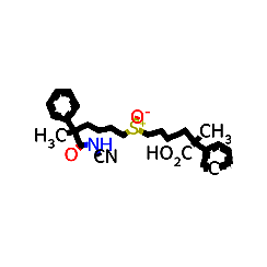 CC(CCCC[S+]([O-])CCCCC(C)(C(=O)NC#N)c1ccccc1)(C(=O)O)c1ccccc1